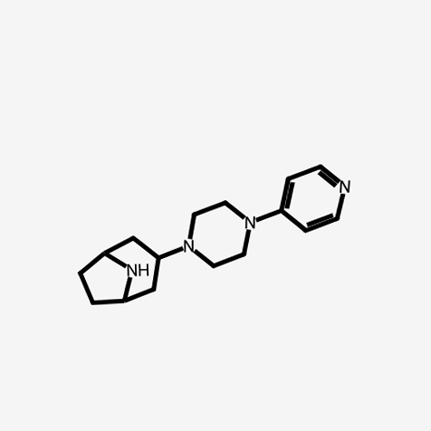 c1cc(N2CCN(C3CC4CCC(C3)N4)CC2)ccn1